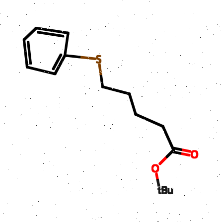 CC(C)(C)OC(=O)CCCCSc1ccccc1